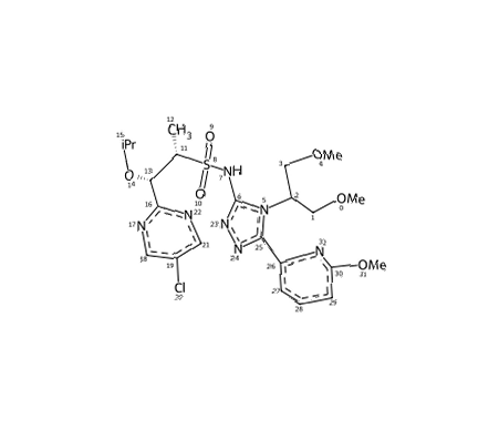 COCC(COC)n1c(NS(=O)(=O)[C@@H](C)[C@@H](OC(C)C)c2ncc(Cl)cn2)nnc1-c1cccc(OC)n1